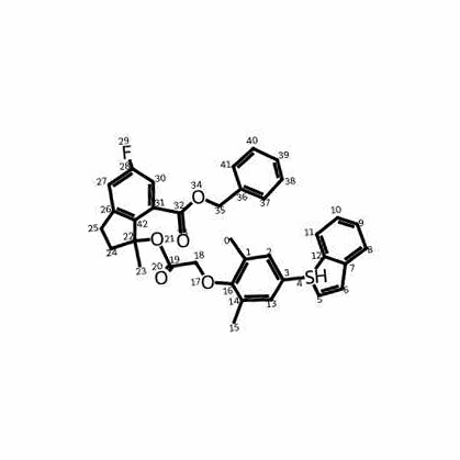 Cc1cc([SH]2C=Cc3ccccc32)cc(C)c1OCC(=O)OC1(C)CCc2cc(F)cc(C(=O)OCc3ccccc3)c21